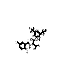 CC(C)[C@H](NC(=O)c1cc(Cl)ccc1O)C(=O)Nc1cc(C(F)(F)F)cc(C(F)(F)F)c1